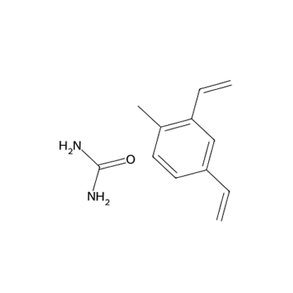 C=Cc1ccc(C)c(C=C)c1.NC(N)=O